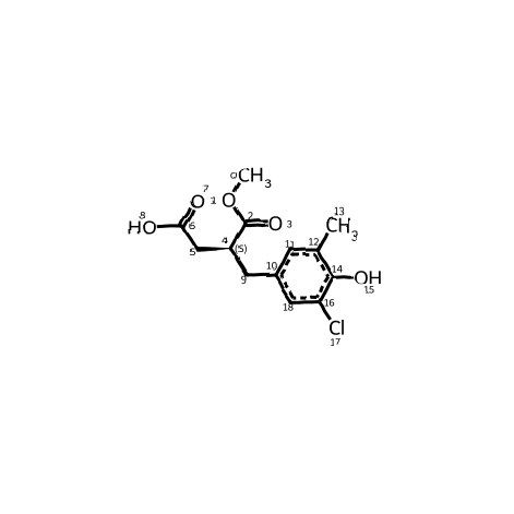 COC(=O)[C@H](CC(=O)O)Cc1cc(C)c(O)c(Cl)c1